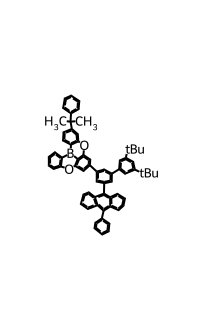 CC(C)(C)c1cc(-c2cc(-c3cc4c5c(c3)Oc3cc(C(C)(C)c6ccccc6)ccc3B5c3ccccc3O4)cc(-c3c4ccccc4c(-c4ccccc4)c4ccccc34)c2)cc(C(C)(C)C)c1